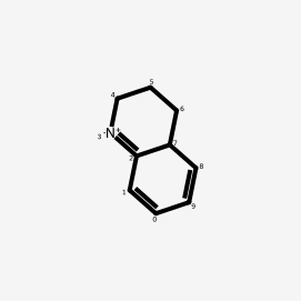 C1=CC2=[N+]CCCC2C=C1